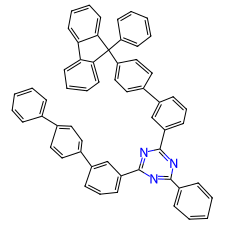 c1ccc(-c2ccc(-c3cccc(-c4nc(-c5ccccc5)nc(-c5cccc(-c6ccc(C7(c8ccccc8)c8ccccc8-c8ccccc87)cc6)c5)n4)c3)cc2)cc1